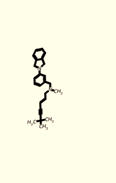 CN(C/C=C/C#CC(C)(C)C)Cc1cccc(N2Cc3ccccc3C2)c1